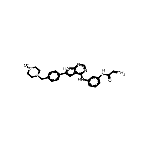 C=CC(=O)Nc1cccc(Nc2ncnc3[nH]c(-c4ccc(CN5CC[S+]([O-])CC5)cc4)cc23)c1